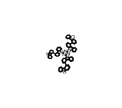 c1ccc2c(c1)oc1cccc(-c3cccc4c3c3ccccc3n4-c3nc(-n4c5ccccc5c5c(-c6cccc7oc8ccccc8c67)cccc54)nc(-n4c5ccccc5c5c(-c6cccc7oc8ccccc8c67)cccc54)n3)c12